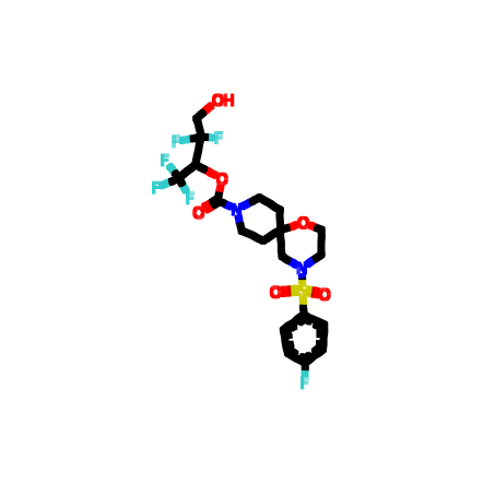 O=C(OC(C(F)(F)F)C(F)(F)CO)N1CCC2(CC1)CN(S(=O)(=O)c1ccc(F)cc1)CCO2